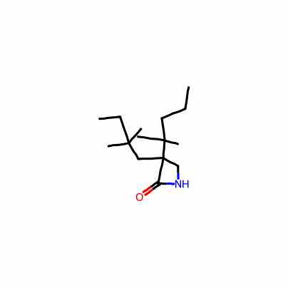 CCCC(C)(C)C1(CC(C)(C)CC)CNC1=O